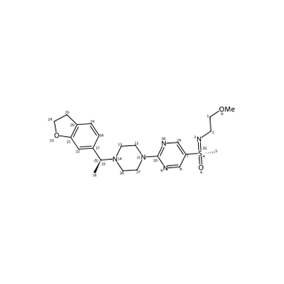 COCCN=[S@@](C)(=O)c1cnc(N2CCN([C@@H](C)c3ccc4c(c3)OCC4)CC2)nc1